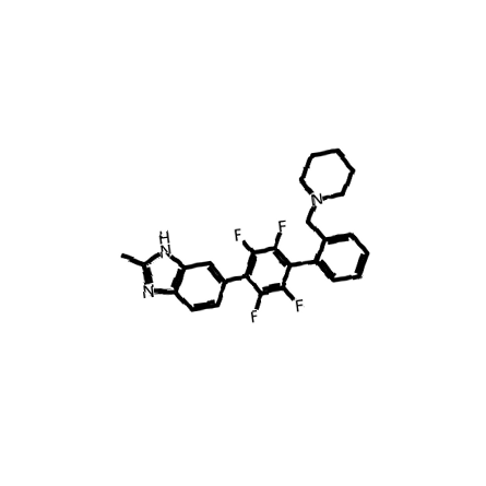 Cc1nc2ccc(-c3c(F)c(F)c(-c4ccccc4CN4CCCCC4)c(F)c3F)cc2[nH]1